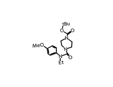 CCN(C(=O)N1CCN(C(=O)OC(C)(C)C)CC1)c1ccc(OC)cc1